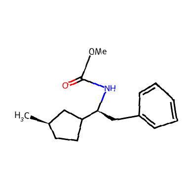 COC(=O)N[C@@H](Cc1ccccc1)C1CC[C@@H](C)C1